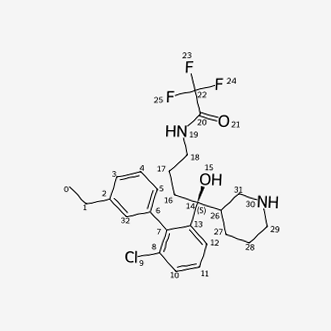 CCc1cccc(-c2c(Cl)cccc2[C@](O)(CCCNC(=O)C(F)(F)F)C2CCCNC2)c1